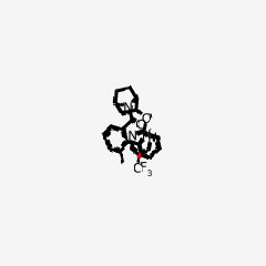 Cc1cccc(C(=O)N2C3CCC2C(Oc2ncc(C(F)(F)F)cn2)C3)c1-c1ccccn1